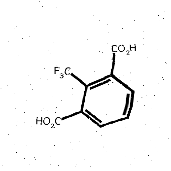 O=C(O)c1cccc(C(=O)O)c1C(F)(F)F